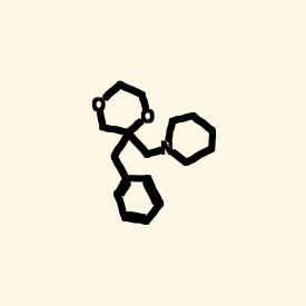 c1ccc(CC2(CN3CCCCC3)COCCO2)cc1